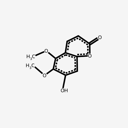 COc1c(O)cc2oc(=O)ccc2c1OC